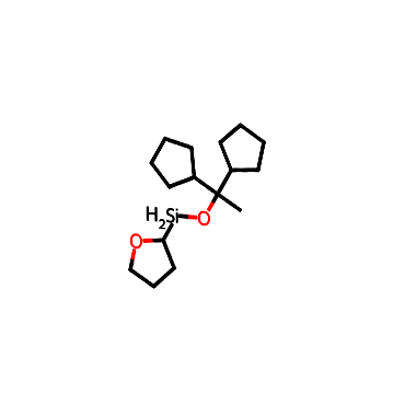 CC(O[SiH2]C1CCCO1)(C1CCCC1)C1CCCC1